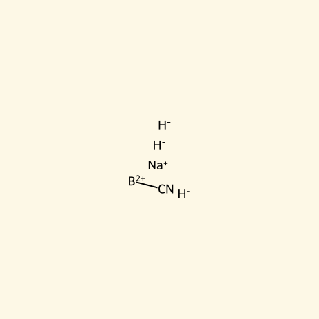 [B+2]C#N.[H-].[H-].[H-].[Na+]